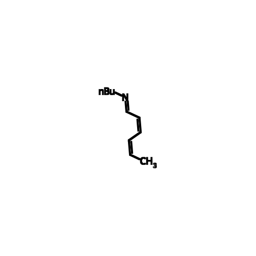 C\C=C/C=C\C=N\CCCC